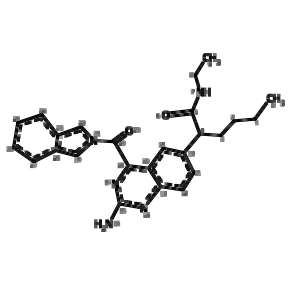 CCCCC(C(=O)NCC)c1ccc2nc(N)nc(C(=O)n3cc4ccccc4c3)c2c1